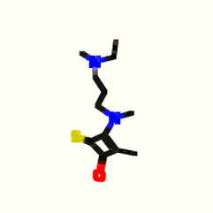 CCN(C)CCCN(C)c1c(C)c(=O)c1=S